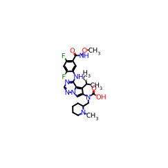 CONC(=O)c1cc(Nc2ncnn3cc(N(CC4CCCCN4C)C(=O)O)c(C(C)C)c23)c(F)cc1F